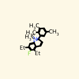 CCc1cc2c(ccc(-c3cc(C)cc(C)c3C)[n+]2C)c(CC)c1F